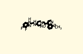 COc1cccc2c([C@@H](O)CN3CCC(NCc4nc5c(F)c(F)ccc5[nH]4)CC3)ccnc12